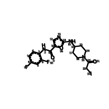 O=C(Nc1ccc(F)cc1F)c1cnc(NC2CCN(C(=O)CI)CC2)o1